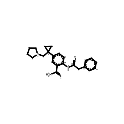 NC(=O)c1cc(C2(CN3CCCC3)CC2)ccc1NC(=O)[CH]c1ccccc1